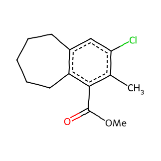 COC(=O)c1c(C)c(Cl)cc2c1CCCCC2